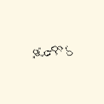 CN1[C@@H]2CC[C@H]1C[C@@H](Oc1ccc(-n3cnc4cc(C(=O)N5CCCCC5)sc4c3=O)cc1)C2